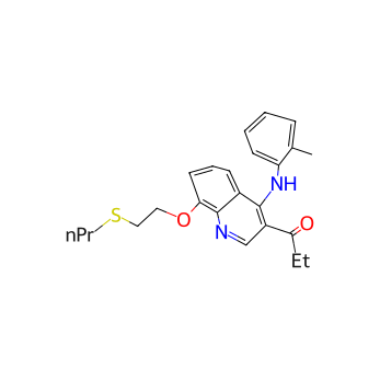 CCCSCCOc1cccc2c(Nc3ccccc3C)c(C(=O)CC)cnc12